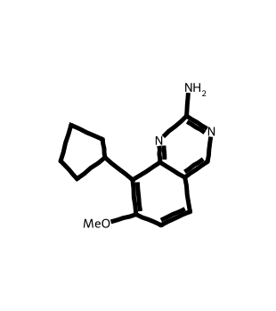 COc1ccc2cnc(N)nc2c1C1CCCC1